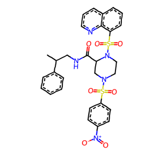 CC(CNC(=O)C1CN(S(=O)(=O)c2ccc([N+](=O)[O-])cc2)CCN1S(=O)(=O)c1cccc2cccnc12)c1ccccc1